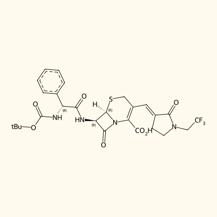 CC(C)(C)OC(=O)N[C@@H](C(=O)N[C@@H]1C(=O)N2C(C(=O)O)=C(C=C3CCN(CC(F)(F)F)C3=O)CS[C@H]12)c1ccccc1